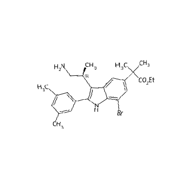 CCOC(=O)C(C)(C)c1cc(Br)c2[nH]c(-c3cc(C)cc(C)c3)c([C@H](C)CN)c2c1